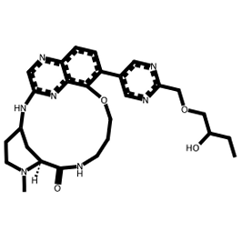 CCC(O)COCc1ncc(-c2ccc3ncc4nc3c2OCCCNC(=O)[C@@H]2CC(CCN2C)N4)cn1